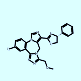 COCc1nnc2n1Cc1c(C3=N[C@H](c4ccccc4)CO3)ncn1-c1ccc(Cl)cc1-2